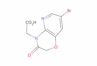 O=C(O)CN1C(=O)COc2cc(Br)cnc21